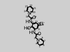 O=C(C[n+]1ccccc1)Nc1cccc(NC(=O)C[n+]2ccccc2)c1O.[Cl-].[Cl-]